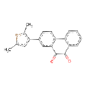 Cc1cc(-c2ccc3c(c2)C(=O)C(=O)c2ccccc2-3)c(C)s1